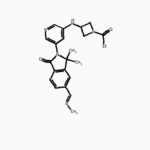 CCC(=O)N1CC(Nc2cncc(N3C(=O)c4ccc(/C=N/C)cc4C3(C)C)c2)C1